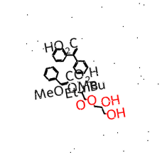 CCCCC(CC)C(=O)OCC(O)CO.COC(C(=O)O)=C(OC)c1ccccc1.O=C(O)C=C(c1ccccc1)c1ccccc1